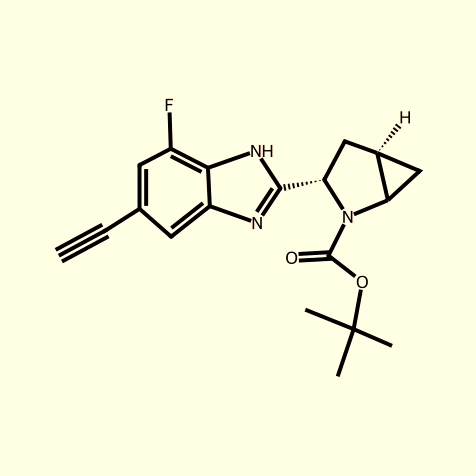 C#Cc1cc(F)c2[nH]c([C@@H]3C[C@H]4CC4N3C(=O)OC(C)(C)C)nc2c1